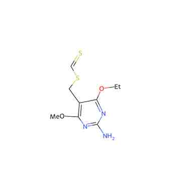 CCOc1nc(N)nc(OC)c1CSC=S